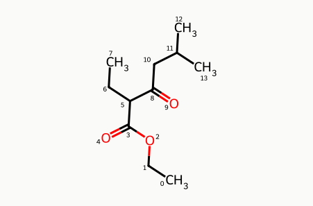 CCOC(=O)C(CC)C(=O)CC(C)C